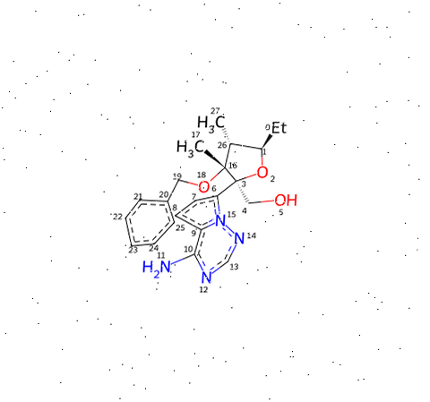 CC[C@H]1O[C@@](CO)(c2ccc3c(N)ncnn23)[C@](C)(OCc2ccccc2)[C@@H]1C